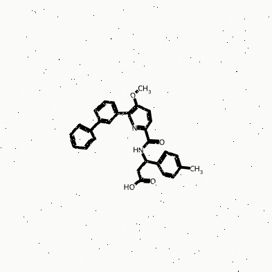 COc1ccc(C(=O)NC(CC(=O)O)c2ccc(C)cc2)nc1-c1cccc(-c2ccccc2)c1